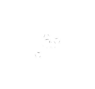 O=C(c1ccc(F)c(F)c1Nc1ccc(I)cc1F)N1CC(O)(CSc2ccccc2)C1